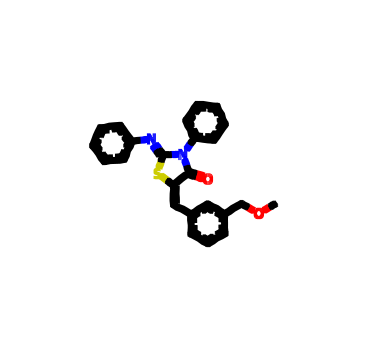 COCc1cccc(C=C2SC(=Nc3ccccc3)N(c3ccccc3)C2=O)c1